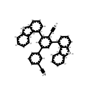 N#Cc1cccc(-c2cc(-c3cccc4oc5ccccc5c34)c(C#N)c(-c3cccc4sc5ccccc5c34)c2)c1